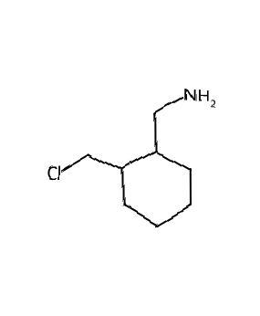 NCC1CCCCC1CCl